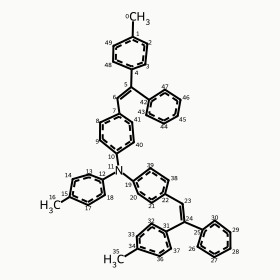 Cc1ccc(C(=Cc2ccc(N(c3ccc(C)cc3)c3ccc(C=C(c4ccccc4)c4ccc(C)cc4)cc3)cc2)c2ccccc2)cc1